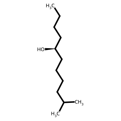 CCCC[C@H](O)CCCCC(C)C